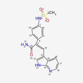 CS(=O)(=O)Nc1ccc(C(=Cc2c[nH]c3ncccc23)C(N)=O)cc1